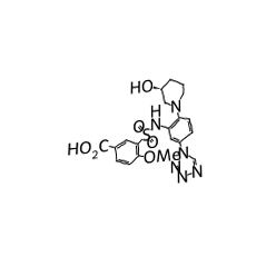 COc1ccc(C(=O)O)cc1S(=O)(=O)Nc1cc(-n2cnnn2)ccc1N1CCC[C@H](O)C1